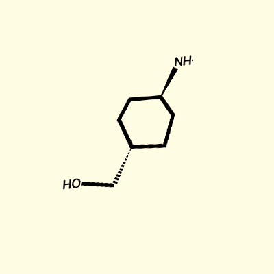 [NH][C@H]1CC[C@H](CO)CC1